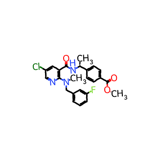 COC(=O)c1ccc([C@H](C)NC(=O)c2cc(Cl)cnc2N(C)Cc2cccc(F)c2)cc1